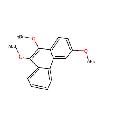 CCCCOc1ccc2c(OCCCC)c(OCCCC)c3ccccc3c2c1